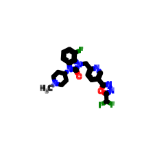 CN1CCC(n2c(=O)n(Cc3ccc(-c4nnc(C(F)F)o4)cn3)c3c(F)cccc32)CC1